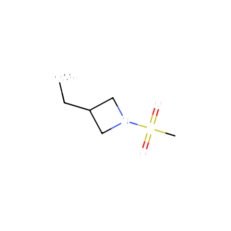 COCC1CN(S(C)(=O)=O)C1